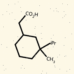 CC(C)C1(C)CCCC(CC(=O)O)C1